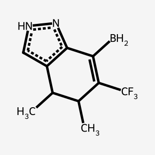 BC1=C(C(F)(F)F)C(C)C(C)c2c[nH]nc21